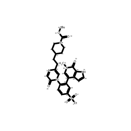 CCS(=O)(=O)c1ccc(-n2cc(CCC3CCN(C(=O)OC(C)(C)C)CC3)ncc2=O)c(-c2cn(C)c(=O)c3[nH]ccc23)c1